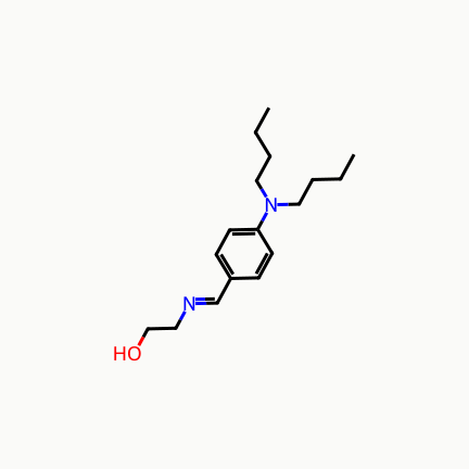 CCCCN(CCCC)c1ccc(C=NCCO)cc1